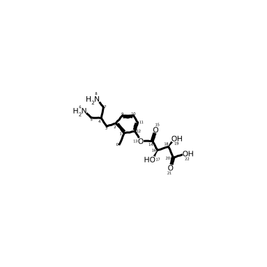 Cc1c(CC(CN)CN)cccc1OC(=O)[C@H](O)[C@@H](O)C(=O)O